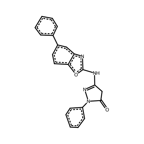 O=C1CC(Nc2nc3cc(-c4ccccc4)ccc3o2)=NN1c1ccccc1